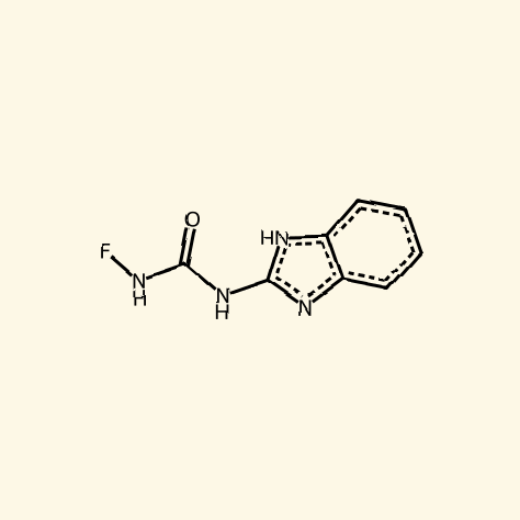 O=C(NF)Nc1nc2ccccc2[nH]1